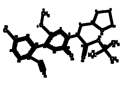 COc1cn(C(CC2CCCO2)C(=O)OC(C)(C)C)c(=O)cc1-c1cc(Cl)ccc1C#N